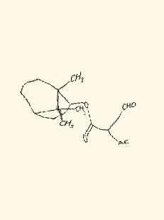 CC(=O)C(C=O)C(=O)OC1CC2CCC1(C)C2(C)C